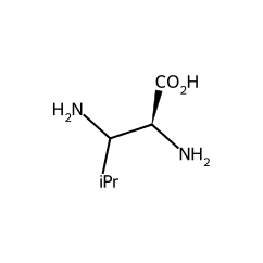 CC(C)C(N)[C@H](N)C(=O)O